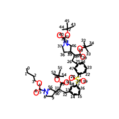 CCCCOC(=O)N1CC[C@H]([C@H](Cc2cccc(S(=O)(=O)c3cccc(C[C@H](C(=O)OC(C)(C)C)[C@H]4CCN(C(=O)OC(C)(C)C)C4)c3)c2)C(=O)OC(C)(C)C)C1